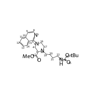 COC(=O)C1CN(c2nccc3ccccc23)CCN1CCCCNC(=O)OC(C)(C)C